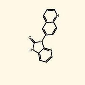 O=c1[nH]c2cccnc2n1-c1ccc2ncccc2c1